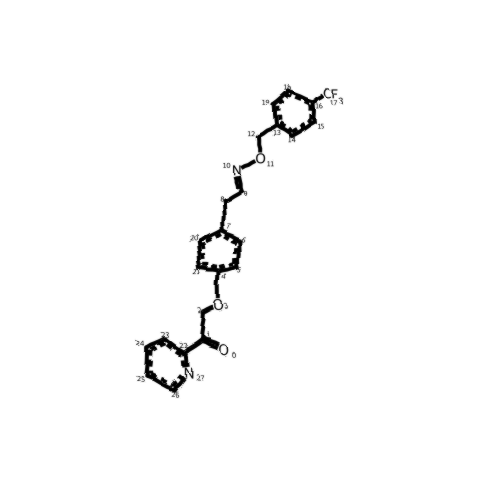 O=C(COc1ccc(CC=NOCc2ccc(C(F)(F)F)cc2)cc1)c1ccccn1